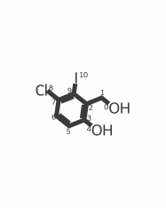 OCc1c(O)ccc(Cl)c1I